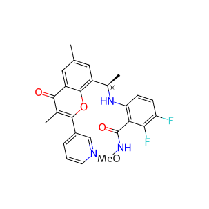 CONC(=O)c1c(N[C@H](C)c2cc(C)cc3c(=O)c(C)c(-c4cccnc4)oc23)ccc(F)c1F